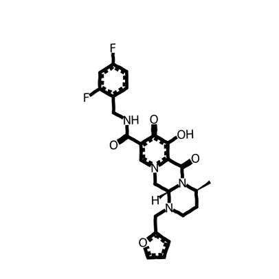 C[C@H]1CCN(Cc2ccco2)[C@@H]2Cn3cc(C(=O)NCc4ccc(F)cc4F)c(=O)c(O)c3C(=O)N12